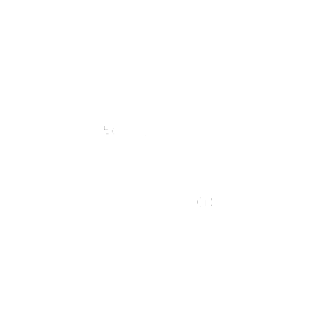 CCC1C=CCC(C)C1